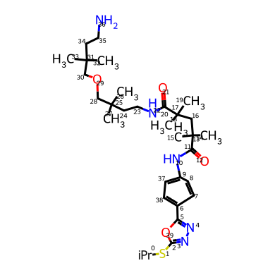 CC(C)Sc1nnc(-c2ccc(NC(=O)C(C)(C)CC(C)(C)C(=O)NCCC(C)(C)COCC(C)(C)CCN)cc2)o1